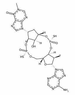 Cn1cnc2c(ncn2[C@@H]2C[C@@H]3O[P@](=O)(S)O[C@H]4[C@@H](F)[C@H](n5cnc6c(N)ncnc65)O[C@@H]4CO[P@](=O)(S)O[C@@H]2[C@@H]3O)c1=O